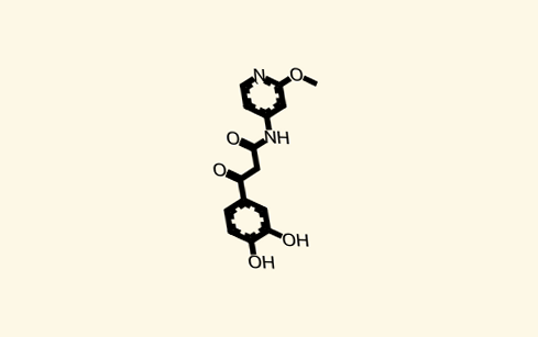 COc1cc(NC(=O)CC(=O)c2ccc(O)c(O)c2)ccn1